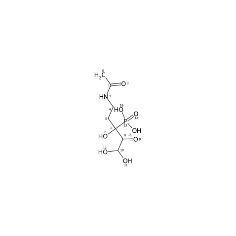 CC(=O)NCCC(O)(C(=O)C(O)O)P(=O)(O)O